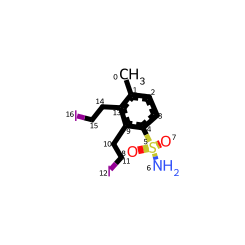 Cc1ccc(S(N)(=O)=O)c(CCI)c1CCI